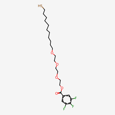 O=C(OCCOCCOCCOCCCCCCCCCCCS)c1cc(F)c(F)c(F)c1